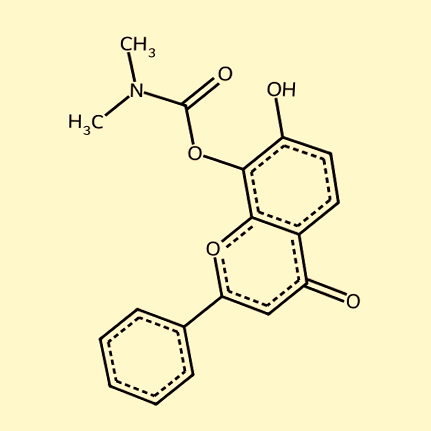 CN(C)C(=O)Oc1c(O)ccc2c(=O)cc(-c3ccccc3)oc12